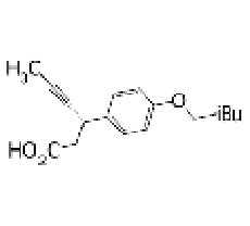 CC#C[C@@H](CC(=O)O)c1ccc(OCC(C)CC)cc1